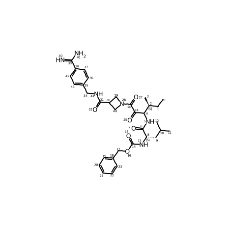 CC[C@H](C)C(NC(=O)[C@H](CC(C)C)NC(=O)OCc1ccccc1)C(=O)C(=O)N1CC(C(=O)NCc2ccc(C(=N)N)cc2)C1